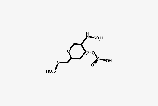 O=S(O)O[C@@H]1CC(COS(=O)(=O)O)OCC1NS(=O)(=O)O